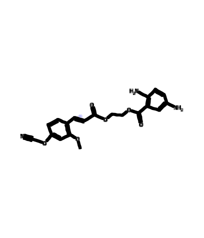 COc1cc(OC#N)ccc1/C=C/C(=O)OCCOC(=O)c1cc(N)ccc1N